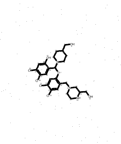 OCC1CCN(C(Oc2cc(Cl)c(Cl)cc2CN2CCNC(CO)C2)c2cc(Cl)c(Cl)cc2O)CC1